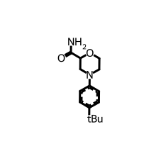 CC(C)(C)c1ccc(N2CCOC(C(N)=O)C2)cc1